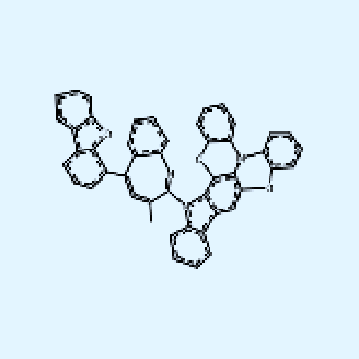 CC1=C=C(c2cccc3c2oc2ccccc23)c2ccccc2N=C1n1c2ccccc2c2cc3c4c(c21)Oc1ccccc1N4c1ccccc1O3